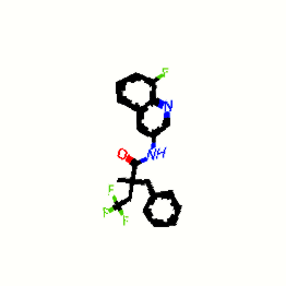 CC(Cc1ccccc1)(CC(F)(F)F)C(=O)Nc1cnc2c(F)cccc2c1